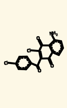 Nc1cccc2c1C(=O)C(Cl)=C(C(=O)c1ccc(Cl)cc1)C2=O